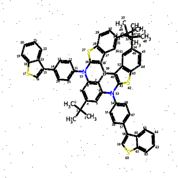 CC(C)(C)c1cc2c3c(c1)N(c1ccc(-c4csc5ccccc45)cc1)c1sc4ccc(C(C)(C)C)cc4c1B3c1c(sc3ccc(C(C)(C)C)cc13)N2c1ccc(-c2csc3ccccc23)cc1